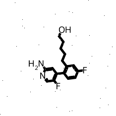 Nc1cc(-c2ccc(F)cc2CCCCCO)c(F)cn1